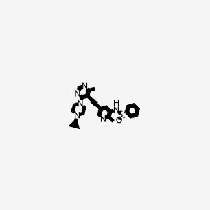 Cc1ncc(C#Cc2c(C)ncnc2N2CCN(C3CC3)CC2)cc1N[S+]([O-])c1ccccc1